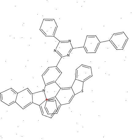 c1ccc(-c2ccc(-c3nc(-c4ccccc4)nc(-c4ccc(-n5c6ccccc6c6cc7ccccc7cc65)c(-c5c6ccccc6cc6sc7ccccc7c56)c4)n3)cc2)cc1